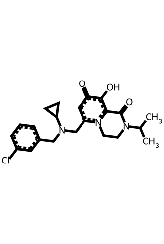 CC(C)N1CCn2c(CN(Cc3cccc(Cl)c3)C3CC3)cc(=O)c(O)c2C1=O